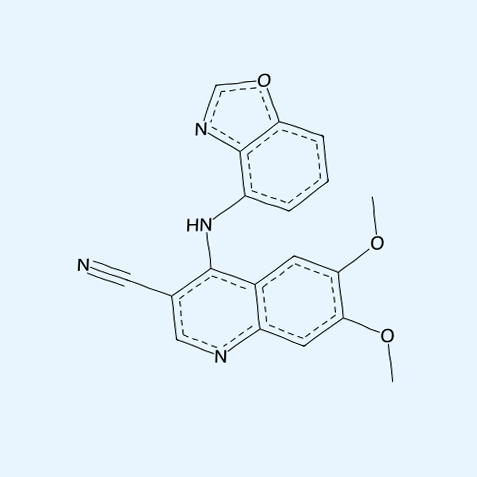 COc1cc2ncc(C#N)c(Nc3cccc4ocnc34)c2cc1OC